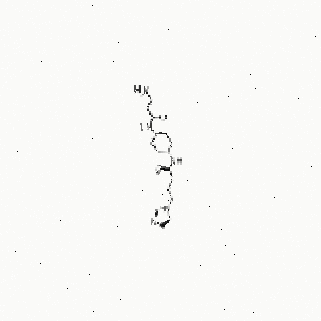 NCCC(=O)N[C@H]1CC[C@H](NC(=O)CCCn2ccnc2)CC1